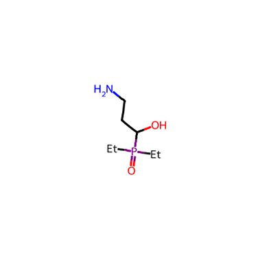 CCP(=O)(CC)C(O)CCN